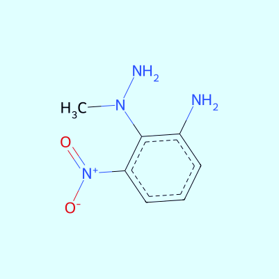 CN(N)c1c(N)cccc1[N+](=O)[O-]